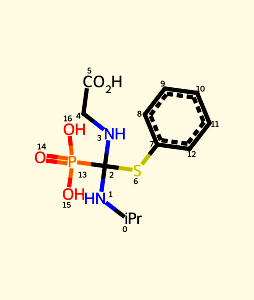 CC(C)NC(NCC(=O)O)(Sc1ccccc1)P(=O)(O)O